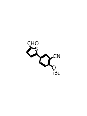 CCC(C)Oc1ccc(-c2ccc(C=O)s2)cc1C#N